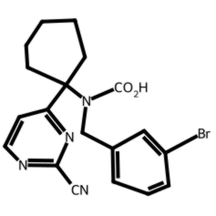 N#Cc1nccc(C2(N(Cc3cccc(Br)c3)C(=O)O)CCCCC2)n1